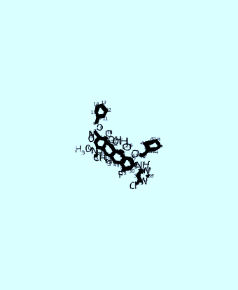 CN(C)[C@@H]1c2onc(OCc3ccccc3)c2C(=O)[C@@]2(O)C(O)=C3C(=O)c4c(c(F)cc(Nc5cc(Cl)ncn5)c4OCc4ccccc4)C[C@H]3C[C@@H]12